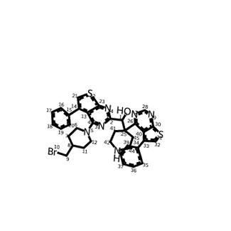 OC(c1nc(N2CCC(CBr)CC2)c2c(-c3ccccc3)csc2n1)C1(c2ncnc3scc(-c4ccccc4)c23)CCNCC1